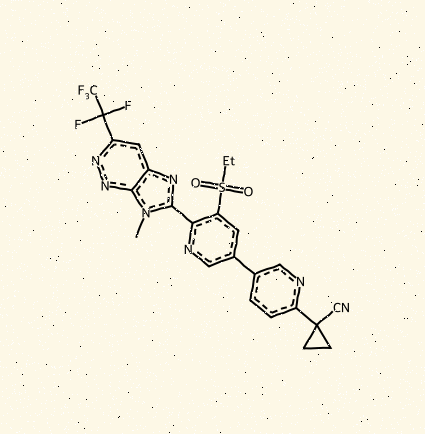 CCS(=O)(=O)c1cc(-c2ccc(C3(C#N)CC3)nc2)cnc1-c1nc2cc(C(F)(F)C(F)(F)F)nnc2n1C